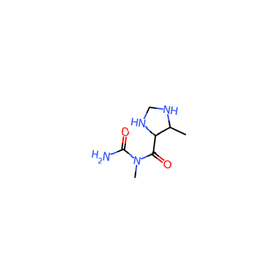 CC1NCNC1C(=O)N(C)C(N)=O